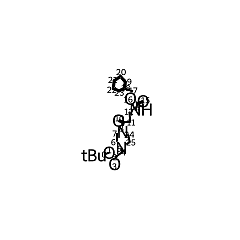 CC(C)(C)OC(=O)CN1CCN(C(=O)CCNC(=O)OCc2ccccc2)CC1